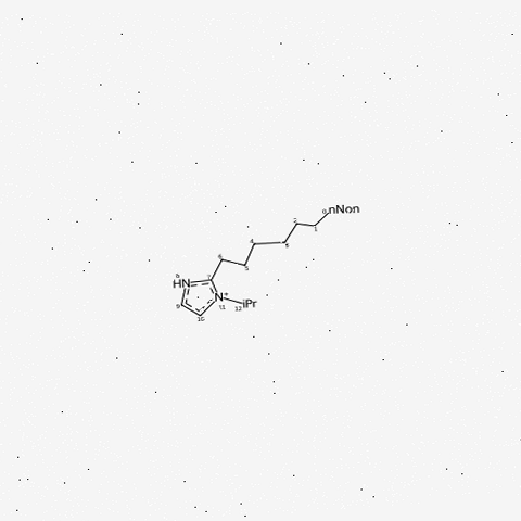 CCCCCCCCCCCCCCCc1[nH]cc[n+]1C(C)C